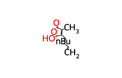 C=CCCC1=C(C)C(=O)O[C@@]1(O)CCCC